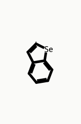 [c]1cc2ccccc2[se]1